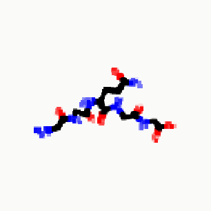 NCC(=O)NCC(=O)N[C@@H](CCC(N)=O)C(=O)NCC(=O)NCC(=O)O